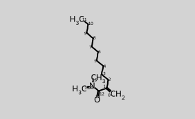 C=C(CCCCCCCCCC)C(=O)N(C)C